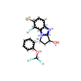 OC1C[C@H](c2ccccc2OC(F)F)n2c1nc1ccc(Br)c(F)c12